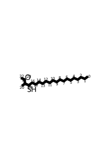 CCCCCCCCCCCCCCCCCC(S)C(C)C(C)=O